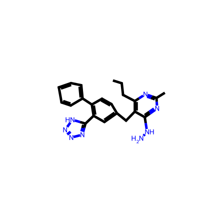 CCCc1nc(C)nc(NN)c1Cc1ccc(-c2ccccc2)c(-c2nnn[nH]2)c1